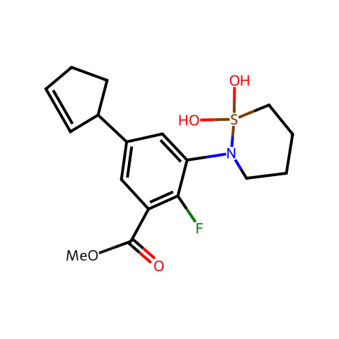 COC(=O)c1cc(C2C=CCC2)cc(N2CCCCS2(O)O)c1F